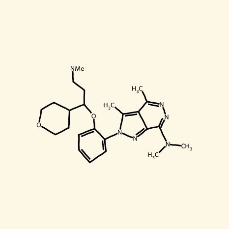 CNCCC(Oc1ccccc1-n1nc2c(N(C)C)nnc(C)c2c1C)C1CCOCC1